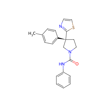 Cc1ccc([C@@]2(c3nccs3)CCN(C(=O)Nc3ccccc3)C2)cc1